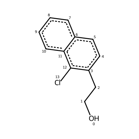 OCCc1ccc2ccccc2c1Cl